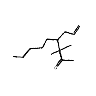 C=CCC(CCCCC)C(C)(C)C(C)=O